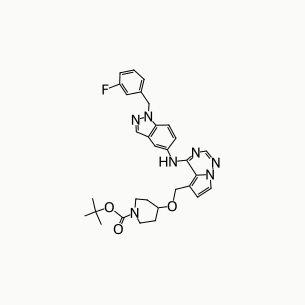 CC(C)(C)OC(=O)N1CCC(OCc2ccn3ncnc(Nc4ccc5c(cnn5Cc5cccc(F)c5)c4)c23)CC1